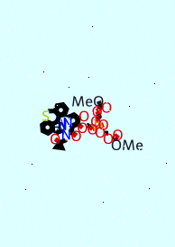 COC(=O)OCOP(=O)(OCOC(=O)OC)OCOc1c2n(ccc1=O)N([C@H]1c3ccccc3CSc3ccccc31)[C@@H]1COC3(CC3)CN1C2=O